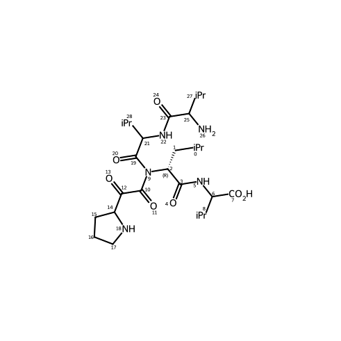 CC(C)C[C@H](C(=O)NC(C(=O)O)C(C)C)N(C(=O)C(=O)C1CCCN1)C(=O)C(NC(=O)C(N)C(C)C)C(C)C